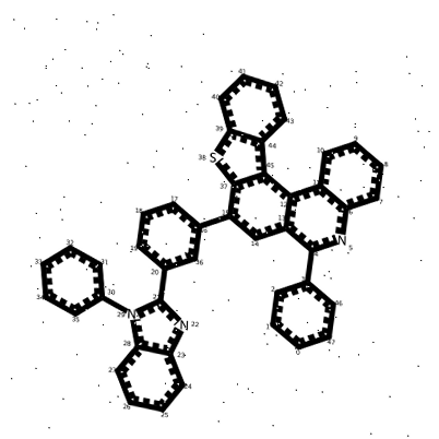 c1ccc(-c2nc3ccccc3c3c2cc(-c2cccc(-c4nc5ccccc5n4-c4ccccc4)c2)c2sc4ccccc4c23)cc1